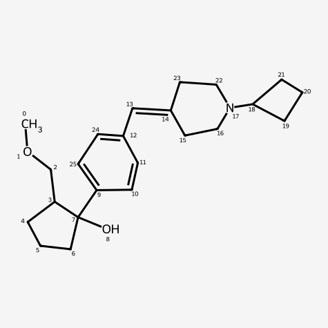 COCC1CCCC1(O)c1ccc(C=C2CCN(C3CCC3)CC2)cc1